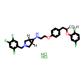 Cl.Cl.O=C(O)[C@H](Cc1ccc(OCCN[C@H]2[C@@H]3CN(Cc4cc(F)c(F)cc4F)C[C@@H]32)cc1)Oc1cc(F)ccc1F